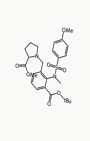 COC(=O)C1CCCN1Cc1cccc(C(=O)OC(C)(C)C)c1N(C)S(=O)(=O)c1ccc(OC)cc1